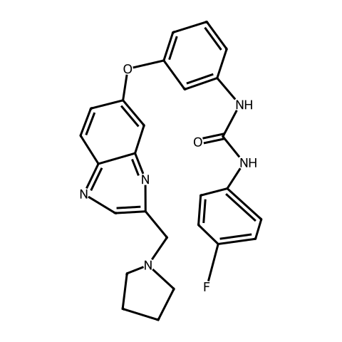 O=C(Nc1ccc(F)cc1)Nc1cccc(Oc2ccc3ncc(CN4CCCC4)nc3c2)c1